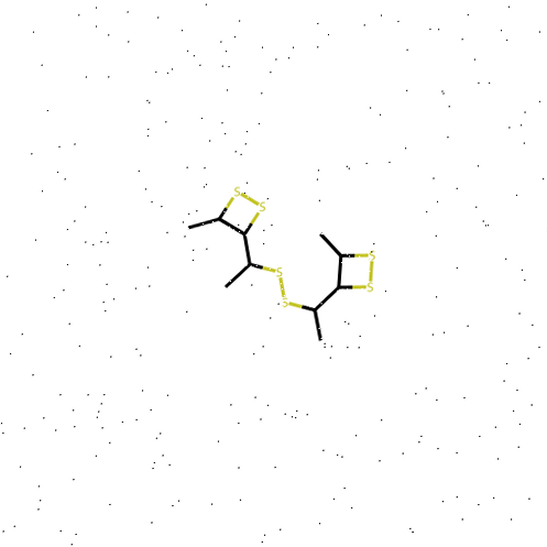 CC(SSC(C)C1SSC1C)C1SSC1C